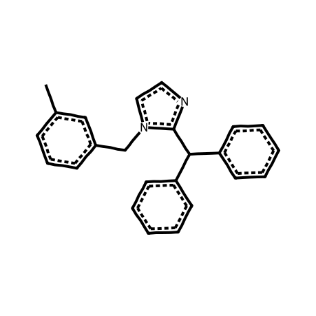 Cc1cccc(Cn2ccnc2C(c2ccccc2)c2ccccc2)c1